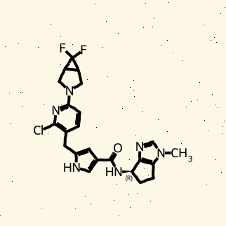 Cn1cnc2c1CC[C@H]2NC(=O)c1c[nH]c(Cc2ccc(N3CC4C(C3)C4(F)F)nc2Cl)c1